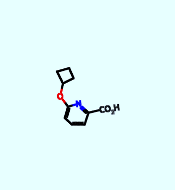 O=C(O)c1cccc(OC2CCC2)n1